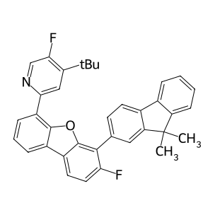 CC(C)(C)c1cc(-c2cccc3c2oc2c(-c4ccc5c(c4)C(C)(C)c4ccccc4-5)c(F)ccc23)ncc1F